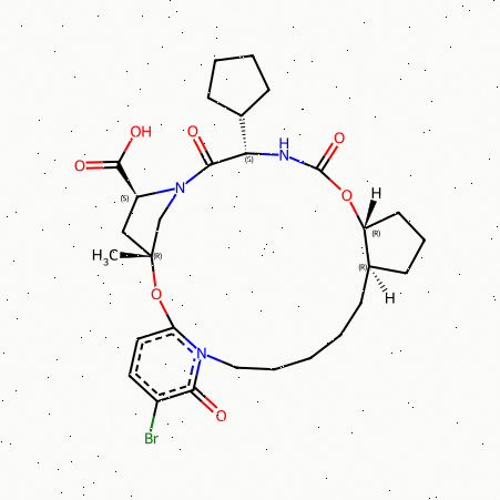 C[C@@]12C[C@@H](C(=O)O)N(C1)C(=O)[C@H](C1CCCC1)NC(=O)O[C@@H]1CCC[C@H]1CCCCCn1c(ccc(Br)c1=O)O2